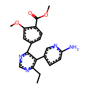 CCc1ncnc(-c2ccc(C(=O)OC)c(OC)c2)c1-c1ccc(N)nc1